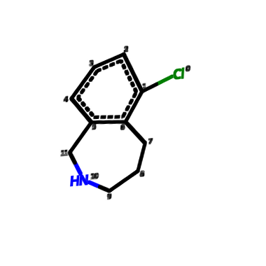 Clc1cccc2c1CCCNC2